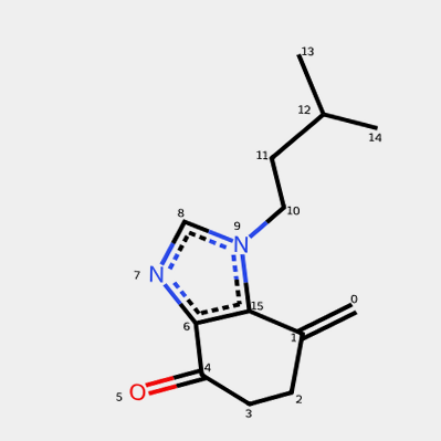 C=C1CCC(=O)c2ncn(CCC(C)C)c21